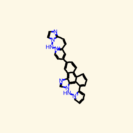 C1=Cc2cc(-c3ccc4c(c3)c3ncn5[nH][n+]6ccccc6c6cccc4c6c35)cc[n+]2Nn2ccnc21